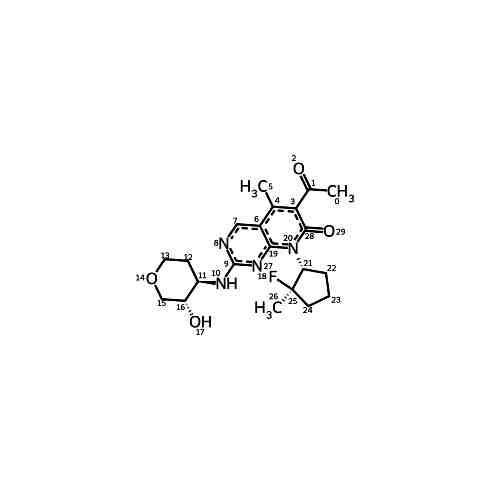 CC(=O)c1c(C)c2cnc(N[C@@H]3CCOC[C@H]3O)nc2n([C@@H]2CCC[C@@]2(C)F)c1=O